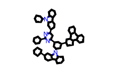 c1ccc(-c2ccc3c4ccccc4n(-c4cc(-c5ccc6c7ccccc7c7ccccc7c6c5)cc(-c5cc(-c6ccc7c8ccccc8n(-c8ccccc8)c7c6)nc(-c6ccccc6)n5)c4)c3c2)cc1